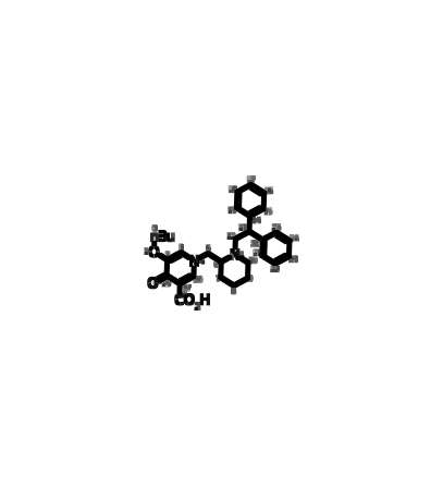 CCCCOc1cn(CC2CCCCN2CC(c2ccccc2)c2ccccc2)cc(C(=O)O)c1=O